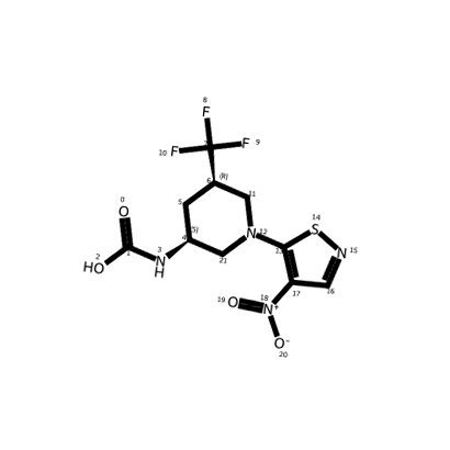 O=C(O)N[C@H]1C[C@@H](C(F)(F)F)CN(c2sncc2[N+](=O)[O-])C1